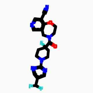 N#Cc1cncc2c1OCCN(C(=O)C1(F)CCN(c3ncc(C(F)F)cn3)CC1)C2